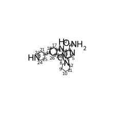 NC(=O)c1ncc(N2CCCCC2)nc1Nc1ccc(C2CCNCC2)cc1Cl